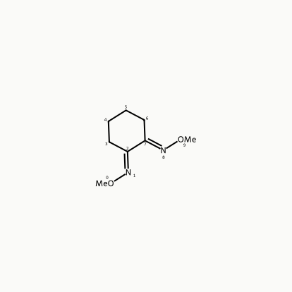 CON=C1CCCCC1=NOC